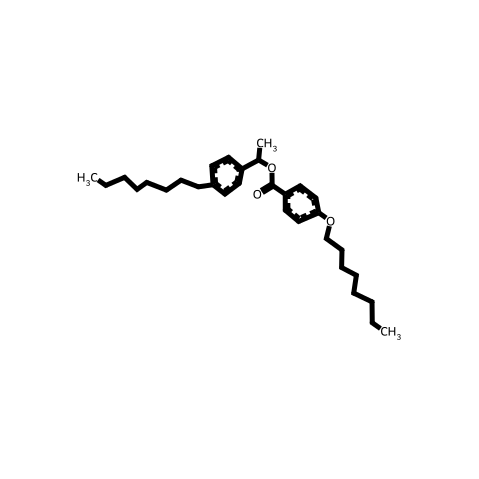 CCCCCCCCOc1ccc(C(=O)OC(C)c2ccc(CCCCCCCC)cc2)cc1